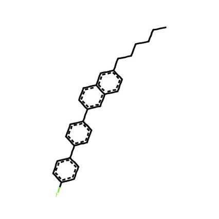 CCCCCCc1ccc2cc(-c3ccc(-c4ccc(F)cc4)cc3)ccc2c1